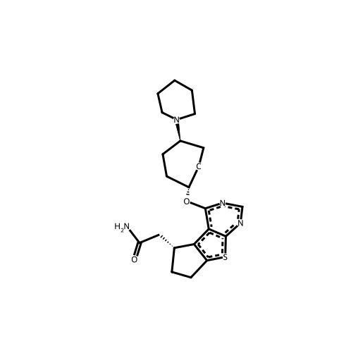 NC(=O)C[C@H]1CCc2sc3ncnc(O[C@H]4CC[C@H](N5CCCCC5)CC4)c3c21